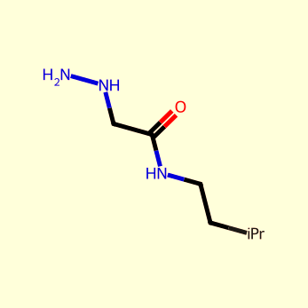 CC(C)CCNC(=O)CNN